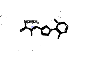 C/C(=C\c1ccn(-c2c(C)cccc2C)c1)C(=O)N(C)O